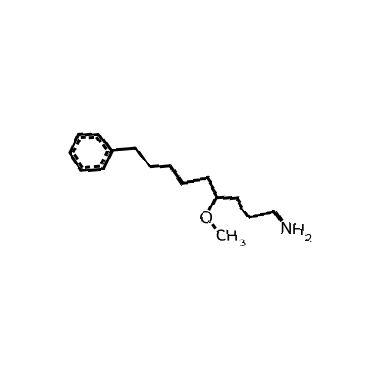 COC(CCCN)CCCCCc1ccccc1